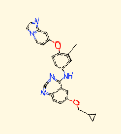 Cc1cc(Nc2ncnc3ccc(OCC4CC4)cc23)ccc1Oc1ccn2ccnc2c1